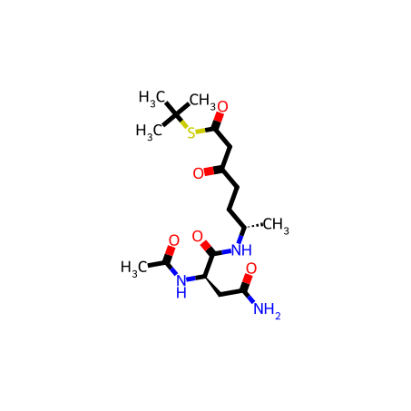 CC(=O)N[C@H](CC(N)=O)C(=O)N[C@@H](C)CCC(=O)CC(=O)SC(C)(C)C